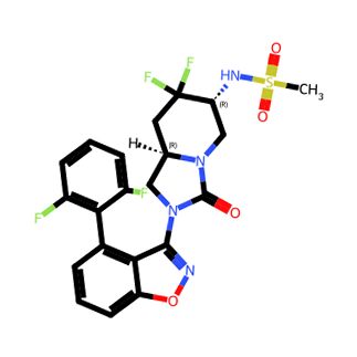 CS(=O)(=O)N[C@@H]1CN2C(=O)N(c3noc4cccc(-c5c(F)cccc5F)c34)C[C@H]2CC1(F)F